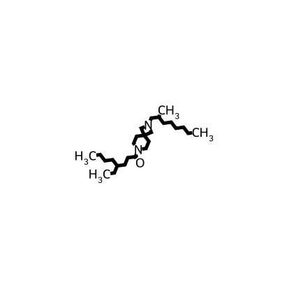 CCCCCCC(C)CN1CC2(CCN(C(=O)CCC(CC)CCCC)CC2)C1